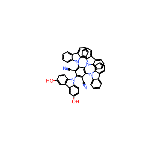 N#Cc1c(-n2c3ccc(O)cc3c3cc(O)ccc32)c(C#N)c(-n2c3ccccc3c3ccccc32)c(-n2c3ccccc3c3ccccc32)c1-n1c2ccccc2c2ccccc21